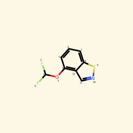 FC(F)Oc1cccc2sn[c]c12